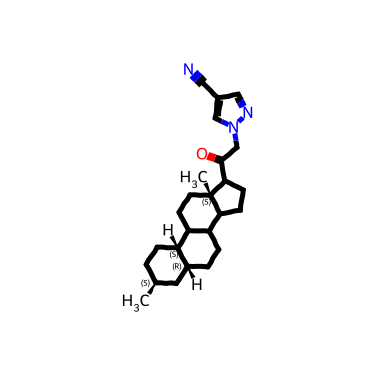 C[C@H]1CC[C@@H]2C3CC[C@]4(C)C(C(=O)Cn5cc(C#N)cn5)CCC4C3CC[C@@H]2C1